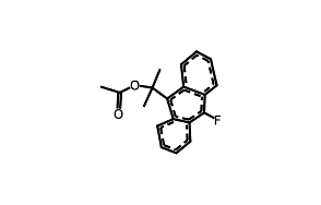 CC(=O)OC(C)(C)c1c2ccccc2c(F)c2ccccc12